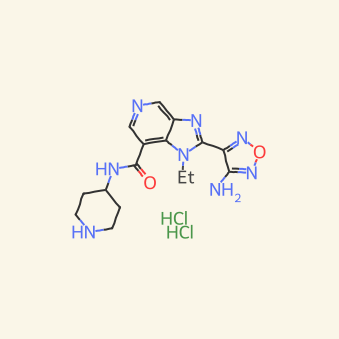 CCn1c(-c2nonc2N)nc2cncc(C(=O)NC3CCNCC3)c21.Cl.Cl